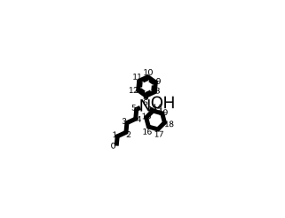 CCCCCCN(c1ccccc1)C1(O)CCCCC1